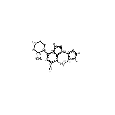 C[C@@H]1COCCN1c1nc(Cl)nc2c1ncn2-c1ccnn1C